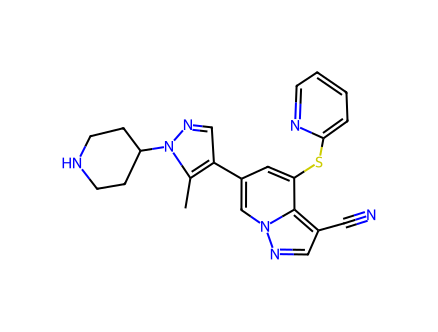 Cc1c(-c2cc(Sc3ccccn3)c3c(C#N)cnn3c2)cnn1C1CCNCC1